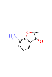 CC1(C)Oc2c(N)cccc2C1=O